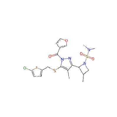 Cc1c(C2C(C)CN2S(=O)(=O)N(C)C)nn(C(=O)c2ccoc2)c1SCc1ccc(Cl)s1